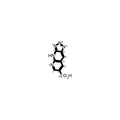 O=C(O)c1cnc2[nH]c3nnnc-3cc2c1